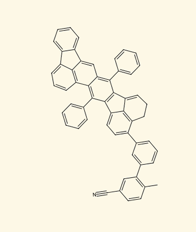 Cc1ccc(C#N)cc1-c1cccc(-c2ccc3c4c2CCC=c4c2c(-c4ccccc4)c4cc5c6ccccc6c6cccc(c4c(-c4ccccc4)c23)c65)c1